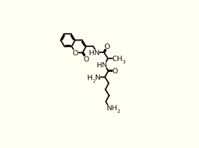 CC(NC(=O)C(N)CCCCN)C(=O)NCc1cc2ccccc2oc1=O